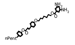 CCCCCc1ccc(OC(=O)C=Cc2ccc(OCCCCCCCOC(=O)c3cc(N)cc(N)c3)cc2)cc1